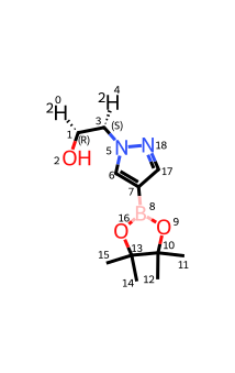 [2H][C@@H](O)[C@H]([2H])n1cc(B2OC(C)(C)C(C)(C)O2)cn1